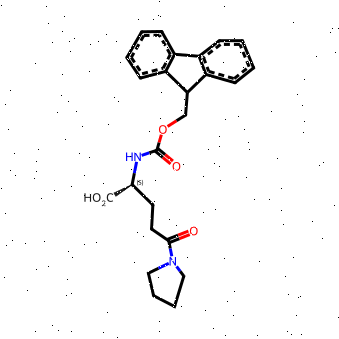 O=C(N[C@@H](CCC(=O)N1CCCC1)C(=O)O)OCC1c2ccccc2-c2ccccc21